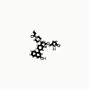 C=CC(=O)N1CCN(c2nc(OCC3CCC(=O)N3)nc3c2CCC(c2cc(O)cc4ccccc24)C3)CC1